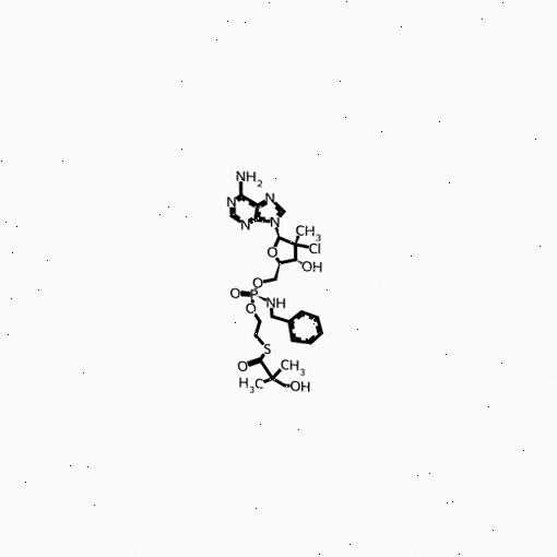 CC(C)(CO)C(=O)SCCO[P@@](=O)(NCc1ccccc1)OC[C@H]1O[C@@H](n2cnc3c(N)ncnc32)[C@](C)(Cl)[C@@H]1O